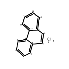 C.c1ccc2c(c1)ccc1ccccc12